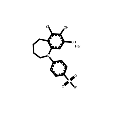 Br.CC(C)S(=O)(=O)c1ccc(N2CCCCc3c2cc(O)c(O)c3Cl)cc1